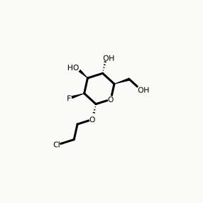 OC[C@H]1O[C@H](OCCCl)[C@@H](F)[C@@H](O)[C@@H]1O